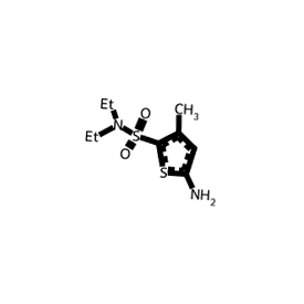 CCN(CC)S(=O)(=O)c1sc(N)cc1C